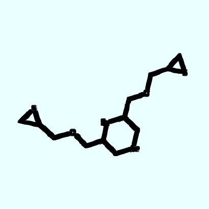 C(OCC1C[Se]CC(COCC2CS2)[Se]1)C1CS1